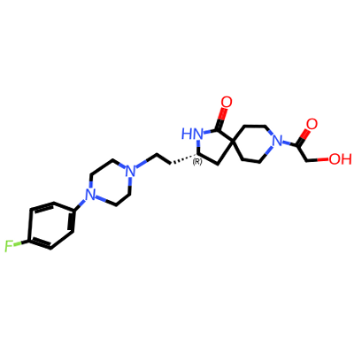 O=C(CO)N1CCC2(CC1)C[C@H](CCN1CCN(c3ccc(F)cc3)CC1)NC2=O